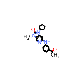 CC(=O)c1cccc(Nc2cc3c(cn2)n(C)c(=O)n3C2CCCC2)c1